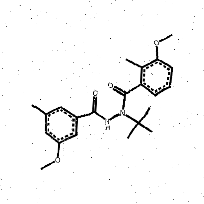 COc1cc(C)cc(C(=O)NN(C(=O)c2cccc(OC)c2C)C(C)(C)C)c1